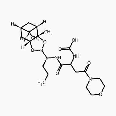 CCC[C@H](NC(=O)C(CC(=O)N1CCOCC1)NC(=O)O)B1O[C@@H]2C[C@@H]3C[C@@H](C3(C)C)[C@]2(C)O1